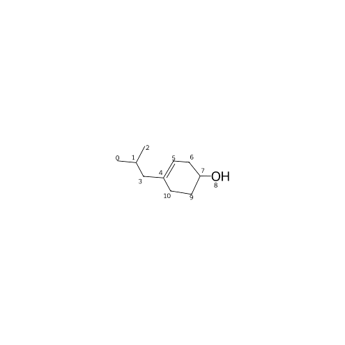 CC(C)CC1=CCC(O)CC1